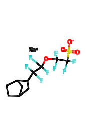 O=S(=O)([O-])C(F)(F)C(F)(F)OC(F)(F)C(F)(F)C1CC2CCC1C2.[Na+]